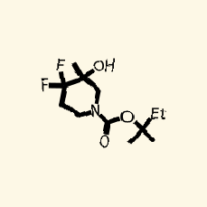 CCC(C)(C)OC(=O)N1CCC(F)(F)C(C)(O)C1